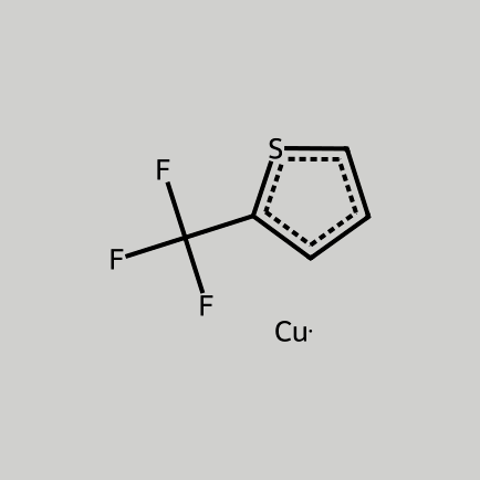 FC(F)(F)c1cccs1.[Cu]